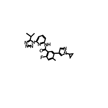 Cc1cc(F)c(C(=O)Nc2cccc(-n3nnnc3C(C)C)n2)cc1-c1cnn(C2CC2)c1